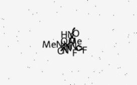 C=CC(=O)Nc1ccc(Nc2ccc(F)cc2F)c(-c2nn(C)c(=O)c(NC)c2OC)c1